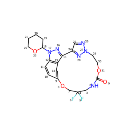 O=C1NCC(F)(F)COc2ccc3c(c2)c(nn3C2CCCCO2)-c2cnn(n2)CCO1